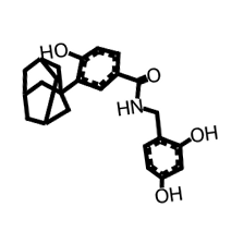 O=C(NCc1ccc(O)cc1O)c1ccc(O)c(C23CC4CC(CC(C4)C2)C3)c1